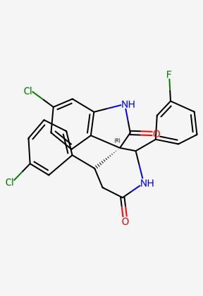 O=C1CC(c2cccc(Cl)c2)[C@]2(C(=O)Nc3cc(Cl)ccc32)C(c2cccc(F)c2)N1